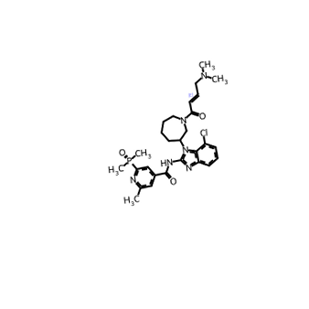 Cc1cc(C(=O)Nc2nc3cccc(Cl)c3n2C2CCCCN(C(=O)/C=C/CN(C)C)C2)cc(P(C)(C)=O)n1